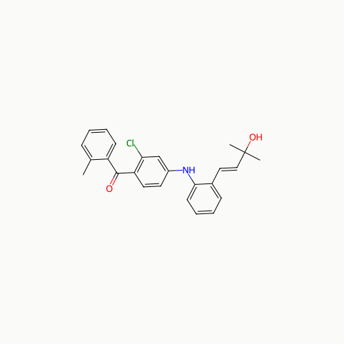 Cc1ccccc1C(=O)c1ccc(Nc2ccccc2/C=C/C(C)(C)O)cc1Cl